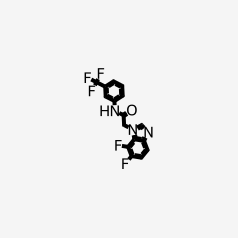 O=C(Cn1cnc2ccc(F)c(F)c21)Nc1cccc(C(F)(F)F)c1